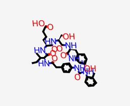 CCC(C)[C@H](NC(=O)Cc1ccc(NC(=O)Nc2ccccc2C)cc1)C(=O)N[C@@H](CCCC(=O)O)C(=O)N[C@@H](CO)C(=O)N[C@@H](Cc1ccc(O)cc1)C(N)=O